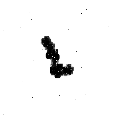 CC(F)(F)c1ccc(CNC(=O)c2nnc(CCCCn3cc(C(=O)NCc4cccc(OC(F)(F)F)c4)nn3)s2)nc1